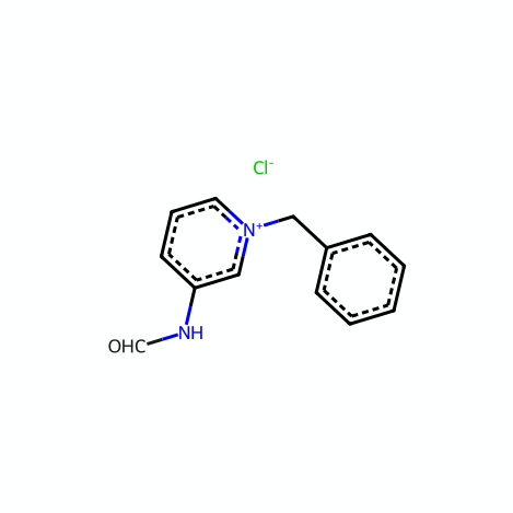 O=CNc1ccc[n+](Cc2ccccc2)c1.[Cl-]